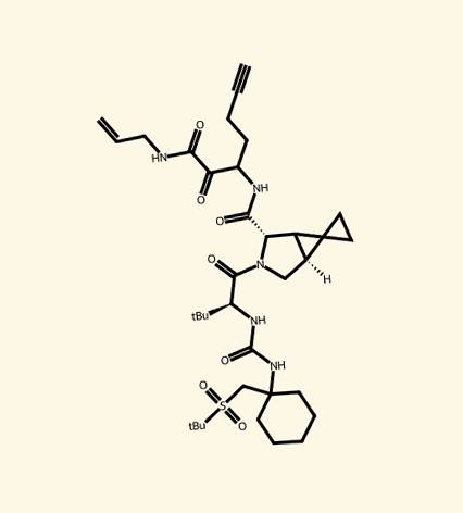 C#CCCC(NC(=O)[C@@H]1C2[C@H](CN1C(=O)[C@@H](NC(=O)NC1(CS(=O)(=O)C(C)(C)C)CCCCC1)C(C)(C)C)C21CC1)C(=O)C(=O)NCC=C